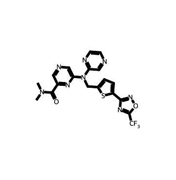 CN(C)C(=O)c1cncc(N(Cc2ccc(-c3noc(C(F)(F)F)n3)s2)c2cnccn2)n1